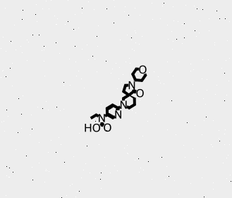 CCN(C(=O)O)c1ccc(N2CCC[C@]3(CCN(C4CCOCC4)C3=O)C2)nc1